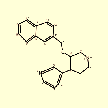 c1cncc(C2CCNCC2OCc2ccc3ccccc3c2)c1